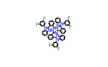 Fc1cc(F)cc(-n2c(-c3ccccc3-c3nc(-c4ccccc4-c4nc5ccccc5n4-c4cc(F)cc(F)c4)nc(-c4ccccc4-c4nc5ccccc5n4-c4cc(F)cc(F)c4)n3)nc3ccccc32)c1